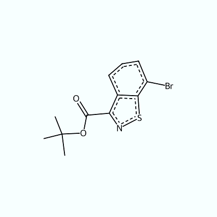 CC(C)(C)OC(=O)c1nsc2c(Br)cccc12